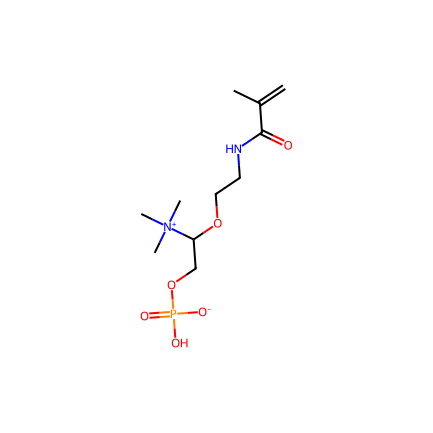 C=C(C)C(=O)NCCOC(COP(=O)([O-])O)[N+](C)(C)C